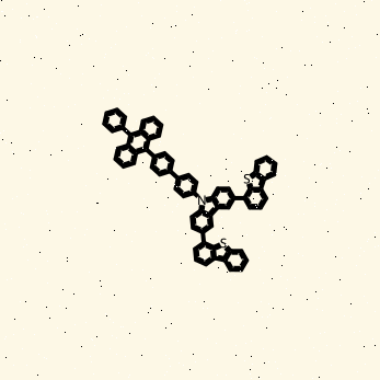 c1ccc(-c2c3ccccc3c(-c3ccc(-c4ccc(-n5c6ccc(-c7cccc8c7sc7ccccc78)cc6c6cc(-c7cccc8c7sc7ccccc78)ccc65)cc4)cc3)c3ccccc23)cc1